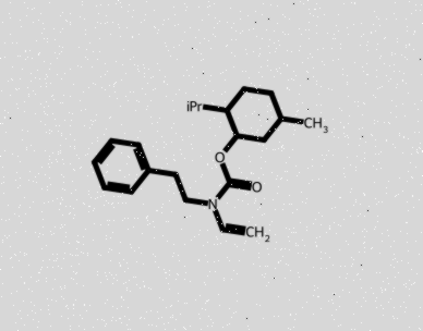 C=CN(CCc1ccccc1)C(=O)OC1CC(C)CCC1C(C)C